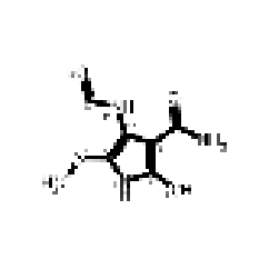 CSc1[nH]c(C)c(C(N)=O)c1NC=O